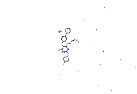 CCCCc1nc(Cc2ccc(F)cc2)[nH]c(=O)c1Cc1ccc(-c2ccccc2C#N)cc1